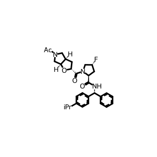 CC(=O)N1C[C@H]2C[C@H](C(=O)N3C[C@H](F)C[C@H]3C(=O)N[C@H](c3ccccc3)c3ccc(C(C)C)cc3)O[C@H]2C1